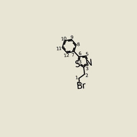 BrCCc1ncc(-c2ccccc2)s1